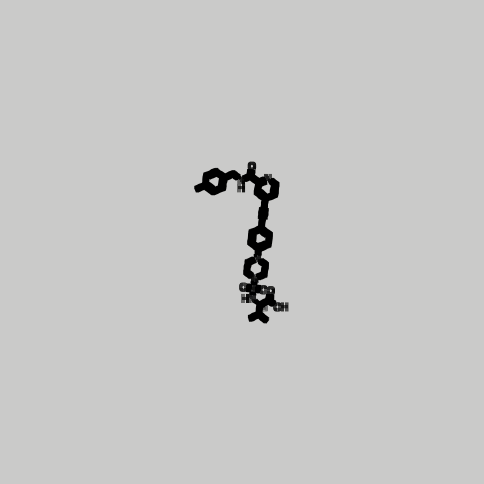 Cc1ccc(CNC(=O)c2cc(C#Cc3ccc(N4CCN(S(=O)(=O)N[C@@H](C(=O)O)C(C)C)CC4)cc3)ccn2)cc1